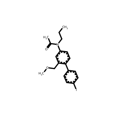 CCCN(C(C)=O)c1ccc(-c2ccc(I)cc2)c(COC)c1